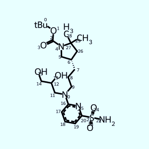 CC(C)(C)OC(=O)N1C[C@@H](CCCN(CC(O)CO)c2cccc(S(N)(=O)=O)n2)CC1(C)C